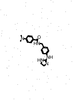 CN(C)c1ccc(C(=O)NCc2ccc(NC3=NCCN3)cc2)cc1